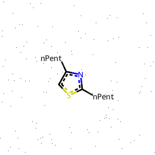 CCCCCc1csc(CCCCC)n1